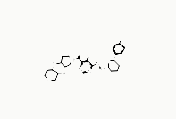 CO[C@H]1COCC[C@H]1NC1CCN(C(=O)c2ncnc(NC[C@@H]3CCC[C@H](c4ccc(C)cc4)O3)c2C)CC1